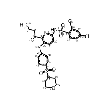 CCCC(=O)c1nc(NS(=O)(=O)c2ccc(Cl)cc2Cl)ccc1Sc1ccc(S(=O)(=O)N2CCOCC2)cc1